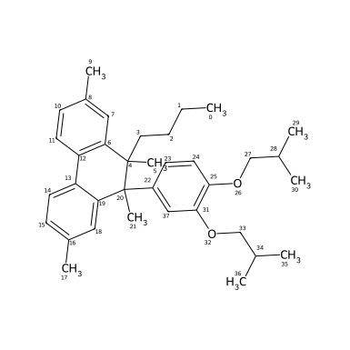 CCCCC1(C)c2cc(C)ccc2-c2ccc(C)cc2C1(C)c1ccc(OCC(C)C)c(OCC(C)C)c1